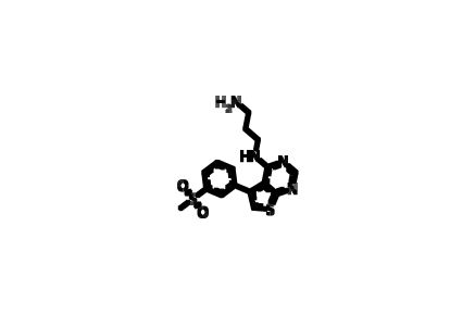 CS(=O)(=O)c1cccc(-c2csc3ncnc(NCCCN)c23)c1